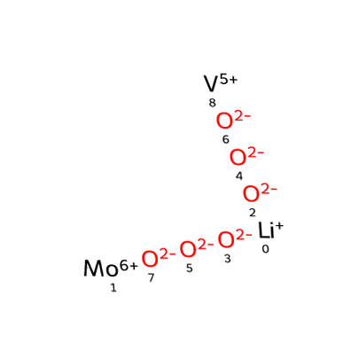 [Li+].[Mo+6].[O-2].[O-2].[O-2].[O-2].[O-2].[O-2].[V+5]